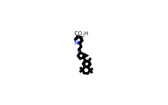 Cc1cc2c(cc1C13CC/C(=C/Cc4ccc(C(=O)O)cn4)C1C3)C(C)(C)CCC2(C)C